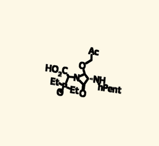 CCCCCN[C@@H]1C(=O)N(C(C(=O)O)P(=O)(CC)CC)C1OCC(C)=O